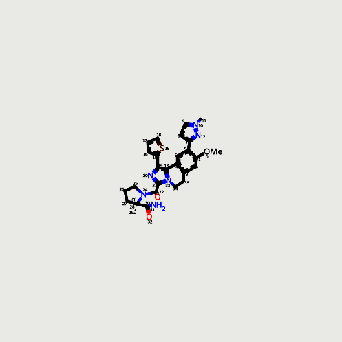 COc1cc2c(cc1-c1ccn(C)n1)-c1c(-c3cccs3)nc(C(=O)N3CCC[C@]3(C)C(N)=O)n1CC2